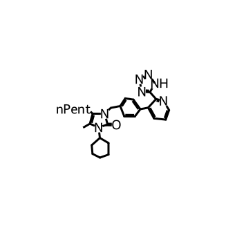 CCCCCc1c(C)n(C2CCCCC2)c(=O)n1Cc1ccc(-c2cccnc2-c2nnn[nH]2)cc1